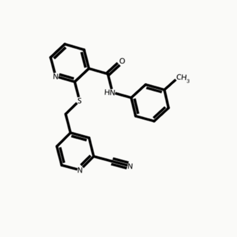 Cc1cccc(NC(=O)c2cccnc2SCc2ccnc(C#N)c2)c1